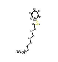 C[CH]CCCCCCCCCCCCCCCSc1ccccc1